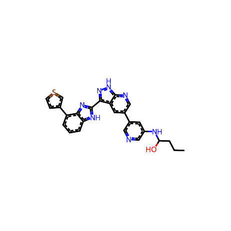 CCCC(O)Nc1cncc(-c2cnc3[nH]nc(-c4nc5c(-c6ccsc6)cccc5[nH]4)c3c2)c1